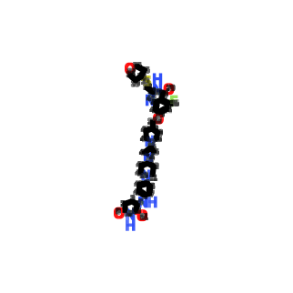 O=C1CCC(Nc2ccc(N3CCC(N4CC(N5CCC(COc6cc(F)c7c(=O)[nH]c(CSC8CCOCC8)nc7c6)CC5)C4)CC3)cc2)C(=O)N1